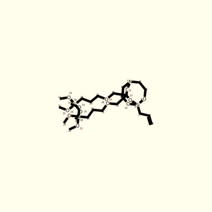 C=CC[Si]12OCCN(CCO1)CC(COCCC[Si](OC)(OC)OC)(COCCC[Si](OC)(OC)OC)O2